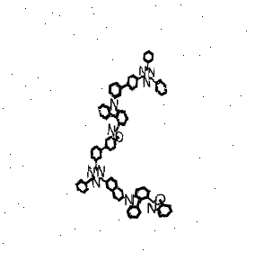 c1ccc(-c2nc(-c3ccccc3)nc(-c3ccc(-c4cccc(-n5c6ccccc6c6c(-c7nc8cc(-c9cccc(-c%10nc(-c%11ccccc%11)nc(-c%11ccc%12cc(-n%13c%14ccccc%14c%14c(-c%15nc%16ccccc%16o%15)cccc%14%13)ccc%12c%11)n%10)c9)ccc8o7)cccc65)c4)cc3)n2)cc1